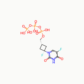 O=c1[nH]c(=O)n([C@]2(F)C[C@@H](COP(=O)(O)OP(=O)(O)OP(=O)(O)O)C2)cc1F